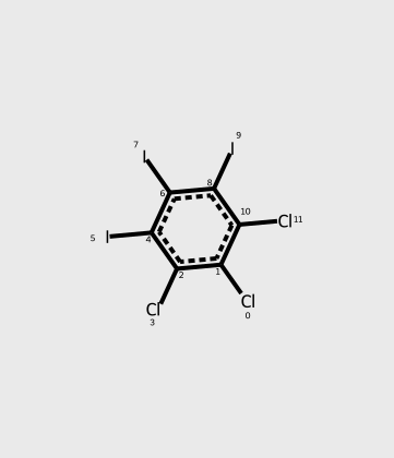 Clc1c(Cl)c(I)c(I)c(I)c1Cl